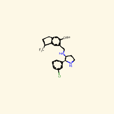 COc1cc2c(cc1CN[C@H]1CCN[C@H]1c1cccc(Cl)c1)C(C(F)(F)F)CC2